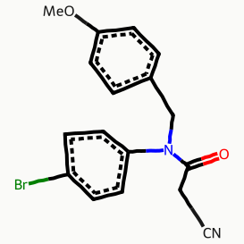 COc1ccc(CN(C(=O)CC#N)c2ccc(Br)cc2)cc1